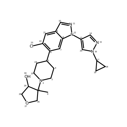 CC1(N2CCC(c3cc4c(cnn4-c4cnn(C5CC5)c4)cc3Cl)CC2)COCC1O